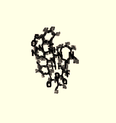 Cc1ccc(C(=O)N(OC(=O)C(F)(F)F)C(C)C)cc1C1NC(N2CCCN(C)CC2)Nc2c1cnc(=O)n2-c1c(F)cccc1F